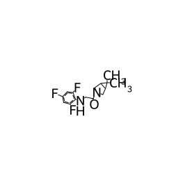 CC1(C)C2CN(C(=O)CNc3c(F)cc(F)cc3F)CC21